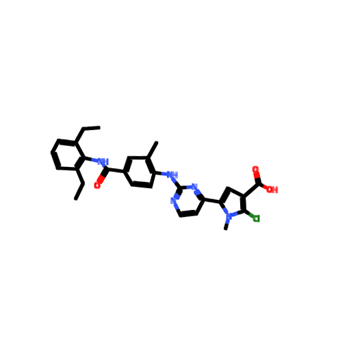 CCc1cccc(CC)c1NC(=O)c1ccc(Nc2nccc(-c3cc(C(=O)O)c(Cl)n3C)n2)c(C)c1